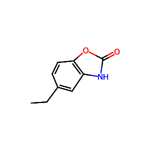 CCc1ccc2oc(=O)[nH]c2c1